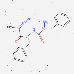 [N-]=[N+]=C(C=O)C(=O)[C@@H](Cc1ccccc1)NC(=O)[C@@H](N)Cc1ccccc1